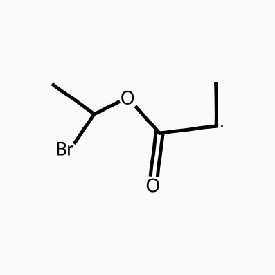 C[CH]C(=O)OC(C)Br